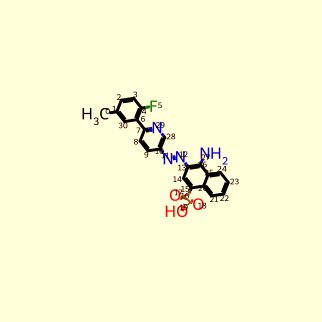 Cc1ccc(F)c(-c2ccc(N=Nc3cc(S(=O)(=O)O)c4ccccc4c3N)cn2)c1